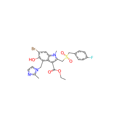 CCOC(=O)c1c(CS(=O)(=O)Cc2ccc(F)cc2)n(C)c2cc(Br)c(O)c(Cn3ccnc3C)c12